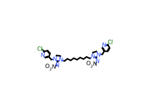 O=[N+]([O-])N=C1N(CCCCCCCCCN2CCN(Cc3ccc(Cl)nc3)C2=N[N+](=O)[O-])CCN1Cc1ccc(Cl)nc1